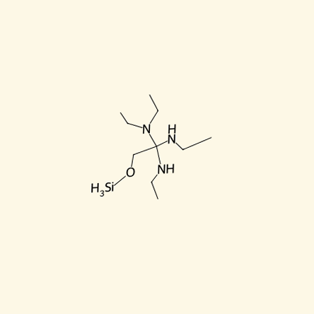 CCNC(CO[SiH3])(NCC)N(CC)CC